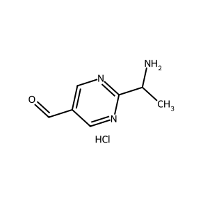 CC(N)c1ncc(C=O)cn1.Cl